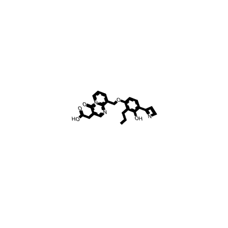 CCCc1c(OCc2cccn3c(=O)c(CC(=O)O)cnc23)ccc(C2=NC=C2)c1O